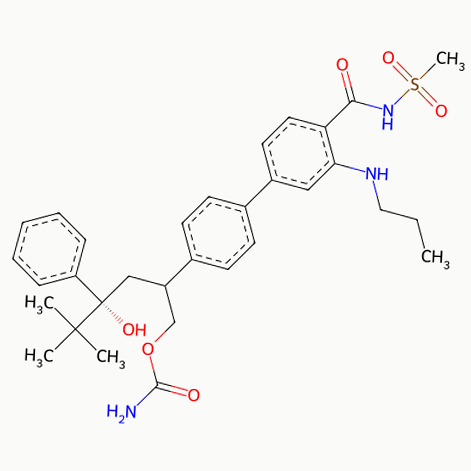 CCCNc1cc(-c2ccc(C(COC(N)=O)C[C@](O)(c3ccccc3)C(C)(C)C)cc2)ccc1C(=O)NS(C)(=O)=O